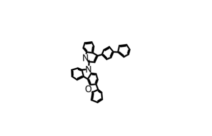 c1ccc(-c2ccc(-c3cc(-n4c5ccccc5c5c6oc7ccccc7c6ccc54)nc4ccccc34)cc2)cc1